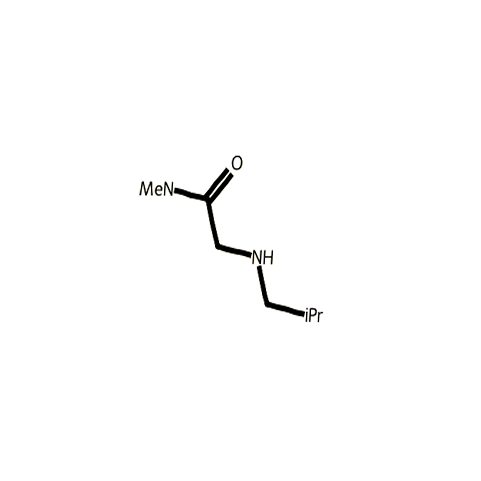 CNC(=O)CNCC(C)C